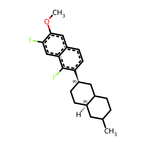 COc1cc2ccc([C@@H]3CC[C@@H]4CC(C)CCC4C3)c(F)c2cc1F